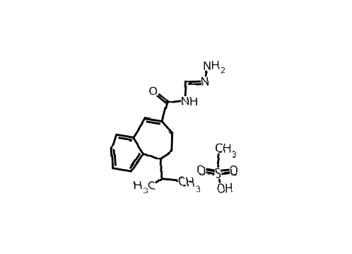 CC(C)C1CCC(C(=O)NC=NN)=Cc2ccccc21.CS(=O)(=O)O